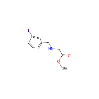 CC(C)(C)OC(=O)CNCc1cccc(I)c1